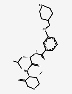 CC(C)C[C@H](NC(=O)c1cccc(NCC2CCNCC2)c1)C(=O)N[C@@H]1C(=O)COC[C@H]1C